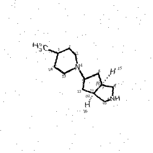 CC1CCN(C2C[C@H]3CNC[C@H]3C2)CC1